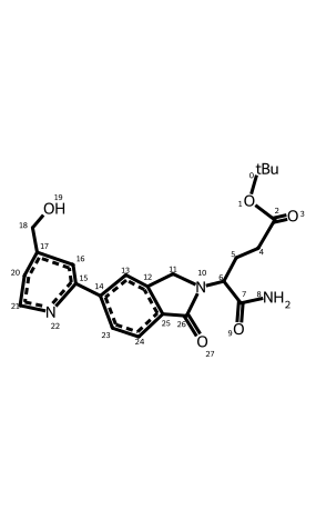 CC(C)(C)OC(=O)CCC(C(N)=O)N1Cc2cc(-c3cc(CO)ccn3)ccc2C1=O